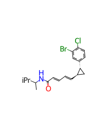 CC(C)C(C)NC(=O)C=CC=C[C@@H]1C[C@H]1c1ccc(Cl)c(Br)c1